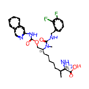 CC(CCCCC[C@@H](COC(=O)Nc1cc2ccccc2cn1)N(C)C(=O)NCc1cccc(F)c1F)[C@@H](N)C(=O)O